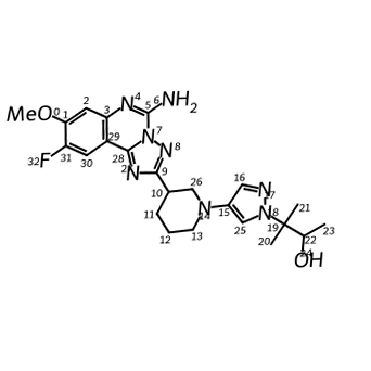 COc1cc2nc(N)n3nc(C4CCCN(c5cnn(C(C)(C)C(C)O)c5)C4)nc3c2cc1F